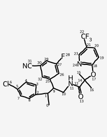 CC(c1ccc(Cl)cc1)C(CNC(=O)C(C)(C)Oc1ccc(C(F)(F)F)cn1)c1cc(F)cc(C#N)c1